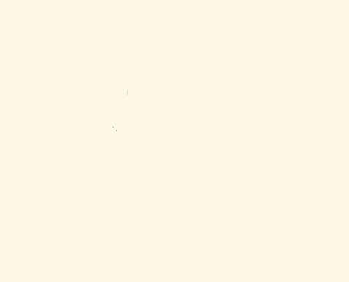 CC1CCCN1C1CCc2cc(-c3cccc4ccccc34)ccc2C1